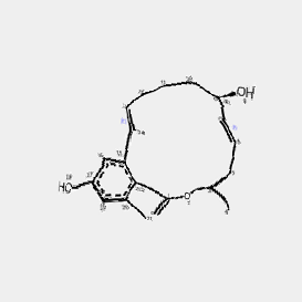 C=C1OC(C)C/C=C/[C@H](O)CCC/C=C/c2cc(O)cc(C)c21